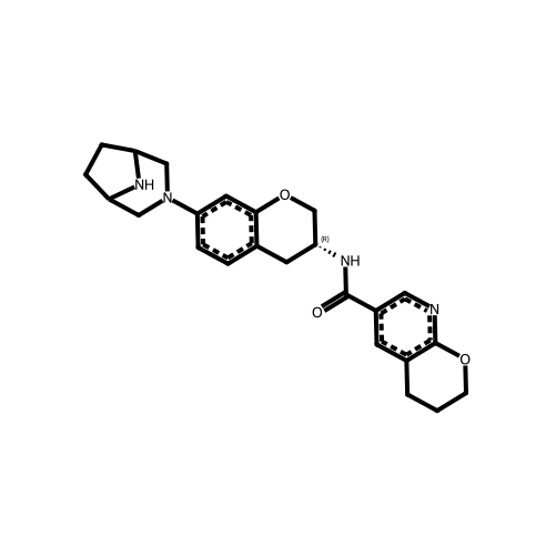 O=C(N[C@H]1COc2cc(N3CC4CCC(C3)N4)ccc2C1)c1cnc2c(c1)CCCO2